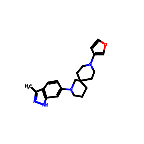 Cc1n[nH]c2cc(N3CCCC4(CCN(c5ccoc5)CC4)C3)ccc12